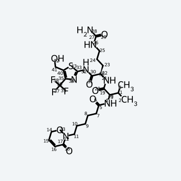 CC(C)[C@@H](NC(=O)CCCCCN1OCC=CC1=O)C(=O)N[C@H](CCCNC(N)=O)C(=O)Nc1nc(C(F)(F)F)c(CO)s1